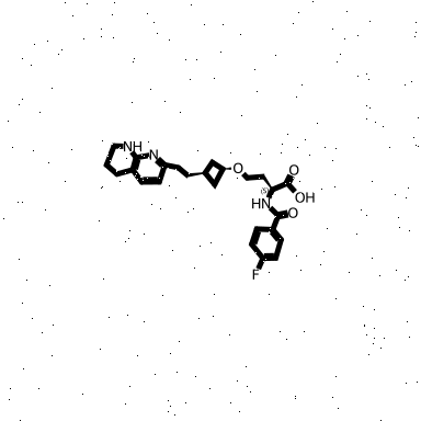 O=C(N[C@@H](CCO[C@H]1C[C@H](CCc2ccc3c(n2)NCCC3)C1)C(=O)O)c1ccc(F)cc1